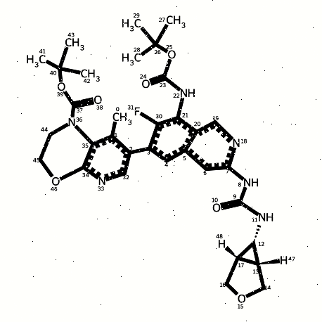 Cc1c(-c2cc3cc(NC(=O)N[C@@H]4[C@@H]5COC[C@@H]54)ncc3c(NC(=O)OC(C)(C)C)c2F)cnc2c1N(C(=O)OC(C)(C)C)CCO2